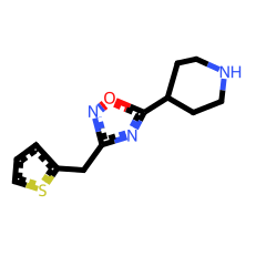 c1csc(Cc2noc(C3CCNCC3)n2)c1